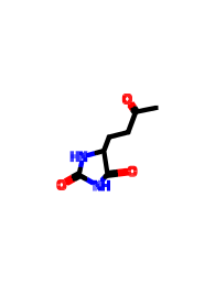 CC(=O)CCC1NC(=O)NC1=O